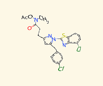 CC(=O)ON(C)C(=O)CCc1cc(-c2ccc(Cl)cc2)n(-c2nc3c(Cl)cccc3s2)n1